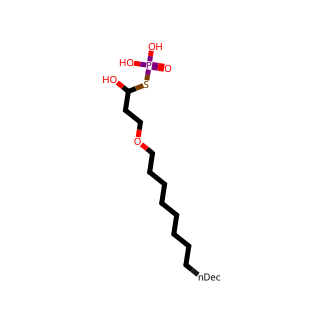 CCCCCCCCCCCCCCCCCCOCCC(O)SP(=O)(O)O